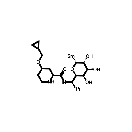 CC(C)[C@@H](NC(=O)[C@@H]1CC(OCC2CC2)CCN1)[C@H]1O[C@H]([Sm])[C@H](O)[C@@H](O)[C@H]1O